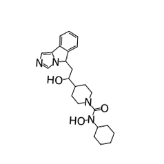 O=C(N1CCC(C(O)CC2c3ccccc3-c3cncn32)CC1)N(O)C1CCCCC1